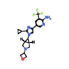 Nc1ncc(-c2cn([C@H]3[C@@H]4CN(C5COC5)C[C@@H]43)c(C3CC3)n2)cc1C(F)(F)F